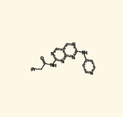 CC(C)CC(=O)Nc1ncc2cnc(Nc3ccncc3)nc2n1